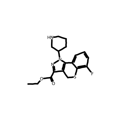 CCOC(=O)c1nn(C2CCCNC2)c2c1CSc1c(F)cccc1-2